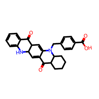 O=C(O)c1ccc(CN2C3=CC4C(=O)c5ccccc5NC4C=C3C(=O)C3CCCCC32)cc1